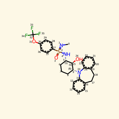 CN=S(=O)(N[C@H]1CCC[C@@H](N2c3ccccc3CCc3ccccc32)[C@@H]1O)c1ccc(OC(F)(F)F)cc1